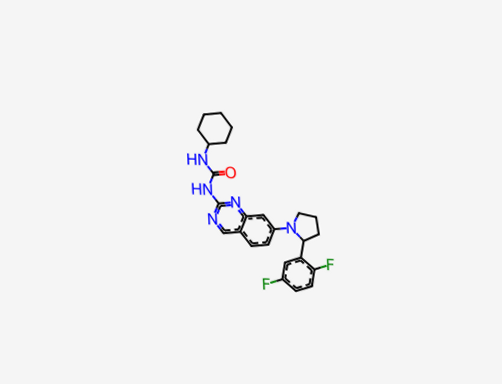 O=C(Nc1ncc2ccc(N3CCCC3c3cc(F)ccc3F)cc2n1)NC1CCCCC1